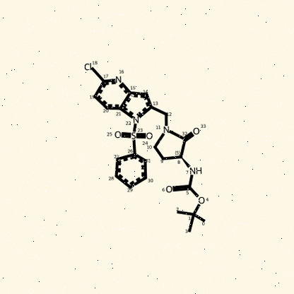 CC(C)(C)OC(=O)N[C@H]1CCN(Cc2cc3nc(Cl)ccc3n2S(=O)(=O)c2ccccc2)C1=O